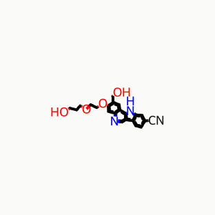 N#Cc1ccc2c(c1)[nH]c1c3cc(CO)c(OCCOCCCO)cc3ncc21